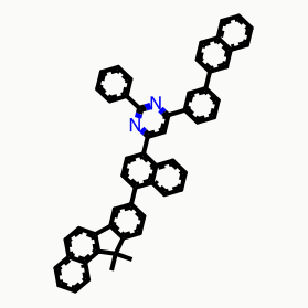 CC1(C)c2ccc(-c3ccc(-c4cc(-c5cccc(-c6ccc7ccccc7c6)c5)nc(-c5ccccc5)n4)c4ccccc34)cc2-c2ccc3ccccc3c21